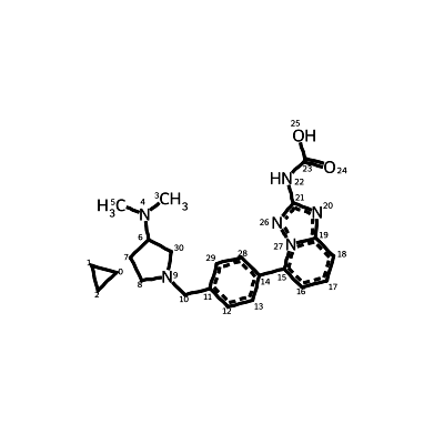 C1CC1.CN(C)C1CCN(Cc2ccc(-c3cccc4nc(NC(=O)O)nn34)cc2)C1